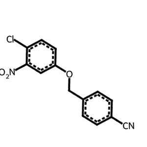 N#Cc1ccc(COc2ccc(Cl)c([N+](=O)[O-])c2)cc1